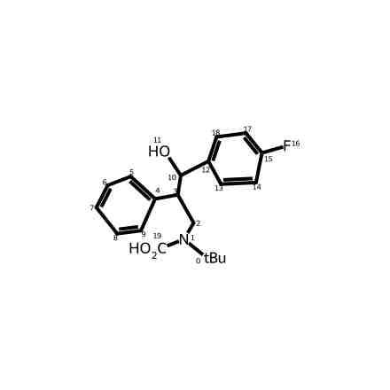 CC(C)(C)N(CC(c1ccccc1)C(O)c1ccc(F)cc1)C(=O)O